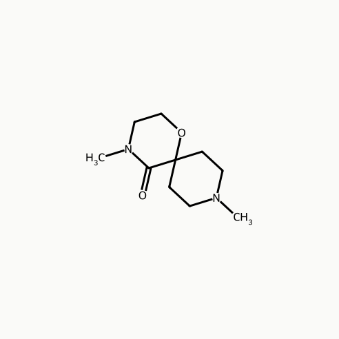 CN1CCC2(CC1)OCCN(C)C2=O